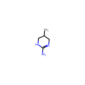 CC1CN=C(N)NC1